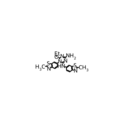 CCOC1N=C(N)N=C(Nc2ccc3nc(C)sc3c2)N1c1ccc2nc(C)sc2c1